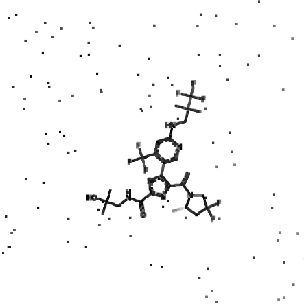 C=C(c1nc(C(=O)NCC(C)(C)O)sc1-c1cnc(NCC(C)(C)C(F)(F)F)cc1C(F)(F)F)N1CC(F)(F)C[C@@H]1C